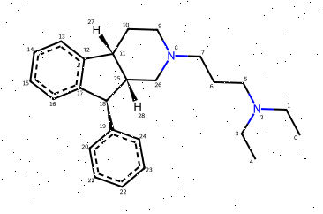 CCN(CC)CCCN1CC[C@H]2c3ccccc3[C@H](c3ccccc3)[C@H]2C1